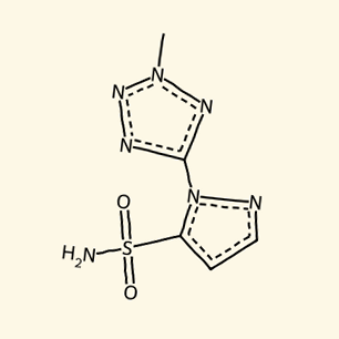 Cn1nnc(-n2nccc2S(N)(=O)=O)n1